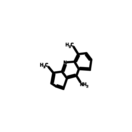 Cc1cccc2c(N)c3cccc(C)c3nc12